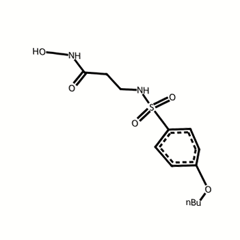 CCCCOc1ccc(S(=O)(=O)NCCC(=O)NO)cc1